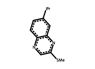 CSc1cnc2ccc(C(C)C)cc2n1